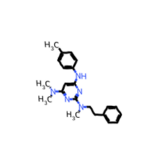 Cc1ccc(Nc2cc(N(C)C)nc(N(C)CCc3ccccc3)n2)cc1